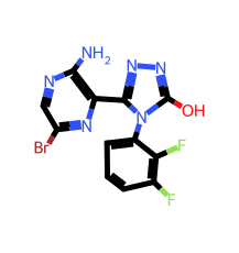 Nc1ncc(Br)nc1-c1nnc(O)n1-c1cccc(F)c1F